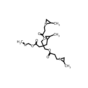 C=NCOC(=O)CC(COC(=O)CCN1CC1C)(COC(=O)CCN1CC1C)CC1CC1C